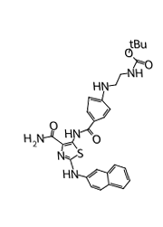 CC(C)(C)OC(=O)NCCNc1ccc(C(=O)Nc2sc(Nc3ccc4ccccc4c3)nc2C(N)=O)cc1